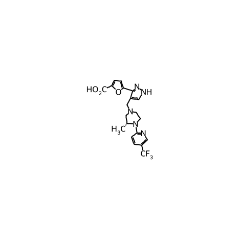 C[C@@H]1CN(Cc2c[nH]nc2-c2ccc(C(=O)O)o2)CCN1c1ccc(C(F)(F)F)cn1